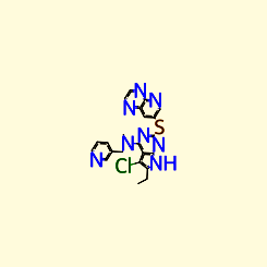 CCc1[nH]c2nc(Sc3cnc4nccnc4c3)nc(N(C)Cc3cccnc3)c2c1Cl